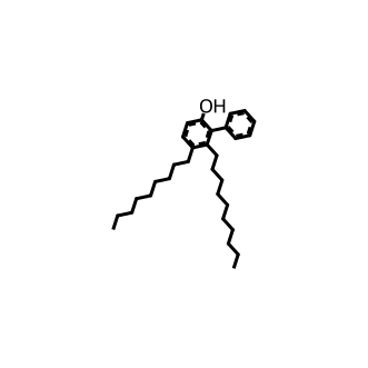 CCCCCCCCCCc1c(CCCCCCCCC)ccc(O)c1-c1ccccc1